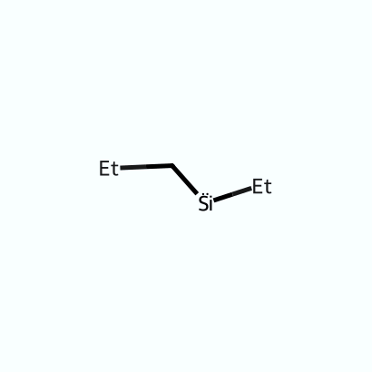 CCC[Si]CC